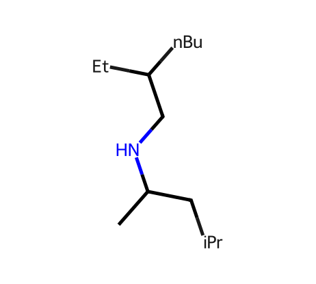 CCCCC(CC)CNC(C)CC(C)C